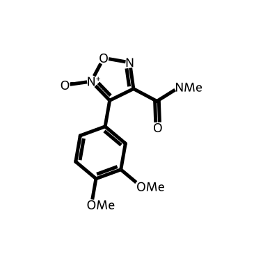 CNC(=O)c1no[n+]([O-])c1-c1ccc(OC)c(OC)c1